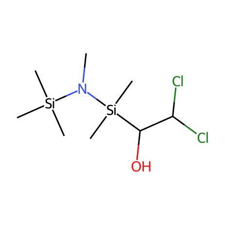 CN([Si](C)(C)C)[Si](C)(C)C(O)C(Cl)Cl